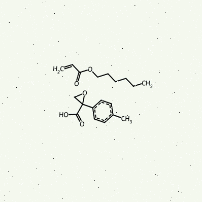 C=CC(=O)OCCCCCC.Cc1ccc(C2(C(=O)O)CO2)cc1